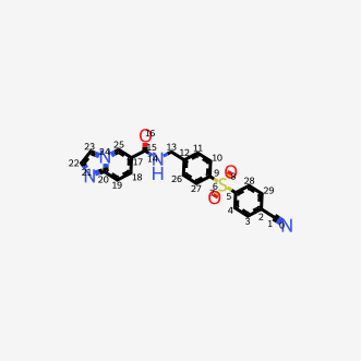 N#Cc1ccc(S(=O)(=O)c2ccc(CNC(=O)c3ccc4nccn4c3)cc2)cc1